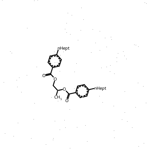 CCCCCCCc1ccc(C(=O)OCC(C)OC(=O)c2ccc(CCCCCCC)cc2)cc1